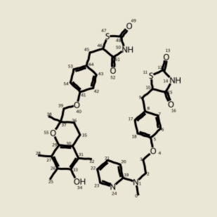 CN(CCOc1ccc(CC2SC(=O)NC2=O)cc1)c1ccccn1.Cc1c(C)c2c(c(C)c1O)CCC(C)(COc1ccc(CC3SC(=O)NC3=O)cc1)O2